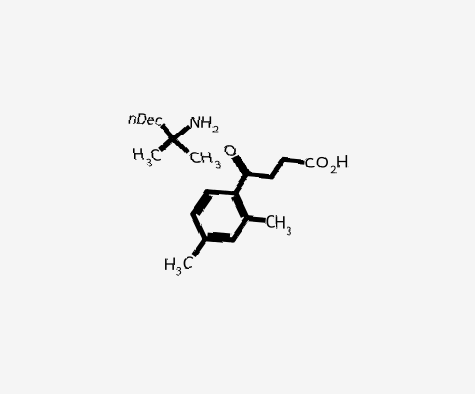 CCCCCCCCCCC(C)(C)N.Cc1ccc(C(=O)CCC(=O)O)c(C)c1